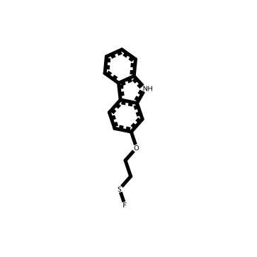 FSCCOc1ccc2c(c1)[nH]c1ccccc12